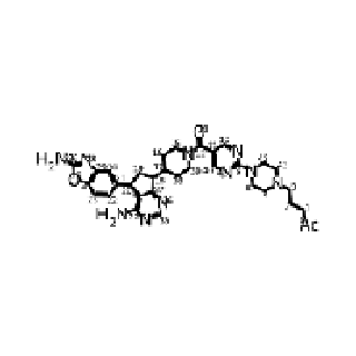 CC(=O)CCCN1CCN(c2ncc(C(=O)N3CCC(C4CC(c5ccc6oc(N)nc6c5)c5c(N)ncnc54)CC3)cn2)CC1